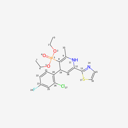 CCOP(=O)(OCC)C1=C(C)NC(c2nccs2)=CC1c1ccc(F)cc1Cl